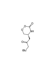 CC(C)(C)CC(=O)C[C@H]1COOC(=O)N1